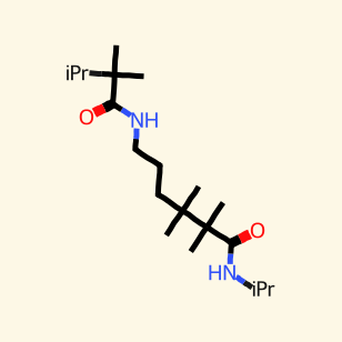 CC(C)NC(=O)C(C)(C)C(C)(C)CCCNC(=O)C(C)(C)C(C)C